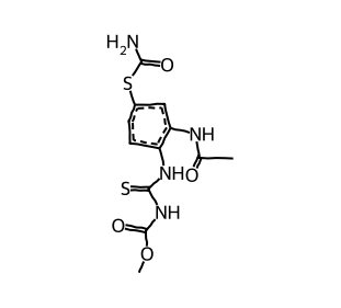 COC(=O)NC(=S)Nc1ccc(SC(N)=O)cc1NC(C)=O